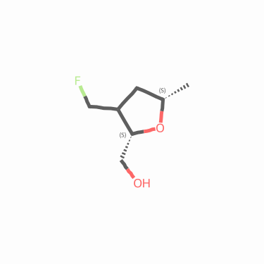 C[C@H]1CC(CF)[C@@H](CO)O1